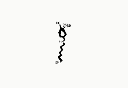 CCC(C)C=CCCCCCNCc1ccc(O)c(OC)c1